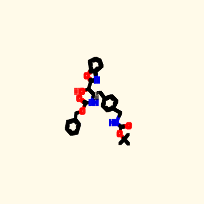 CC(C)(C)OC(=O)NCc1ccc(C[C@H](NC(=O)OCc2ccccc2)C(O)c2nc3ccccc3o2)cc1